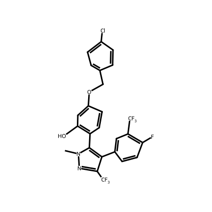 Cn1nc(C(F)(F)F)c(-c2ccc(F)c(C(F)(F)F)c2)c1-c1ccc(OCc2ccc(Cl)cc2)cc1O